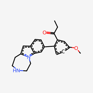 CCC(=O)c1cc(OC)ccc1-c1ccc2cc3n(c2c1)CCNCC3